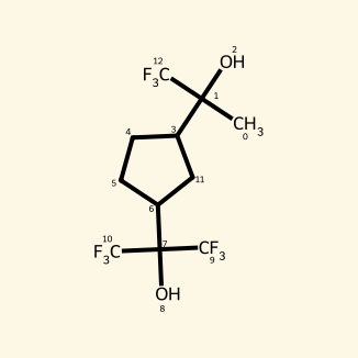 CC(O)(C1CCC(C(O)(C(F)(F)F)C(F)(F)F)C1)C(F)(F)F